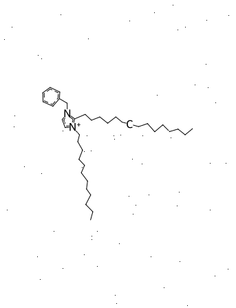 CCCCCCCCCCCCCCCc1n(Cc2ccccc2)cc[n+]1CCCCCCCCCCCC